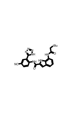 CC(C)(C)CC(=O)Nc1cccc2cc(C(=O)Nc3ccc(C#N)cc3-c3nnn[nH]3)[nH]c12